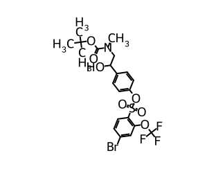 CN(CC(O)c1ccc(OS(=O)(=O)c2ccc(Br)cc2OC(F)(F)F)cc1)C(=O)OC(C)(C)C